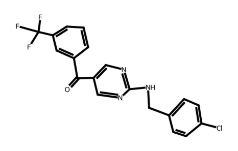 O=C(c1cnc(NCc2ccc(Cl)cc2)nc1)c1cccc(C(F)(F)F)c1